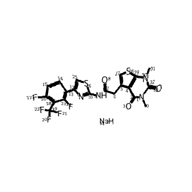 Cn1c(=O)c2c(CC(=O)Nc3nc(-c4ccc(F)c(C(F)(F)F)c4F)cs3)csc2n(C)c1=O.[NaH]